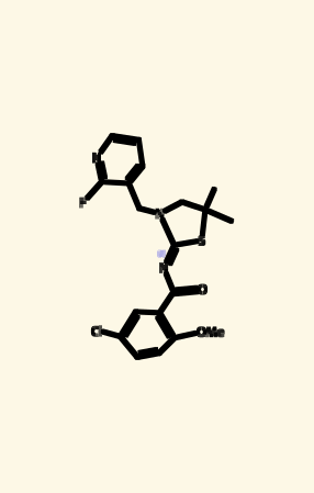 COc1ccc(Cl)cc1C(=O)/N=C1\SC(C)(C)CN1Cc1cccnc1F